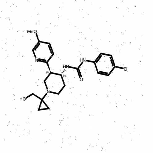 COc1ccc([C@@H]2CN(C3(CO)CC3)CC[C@H]2NC(=O)Nc2ccc(Cl)cc2)nc1